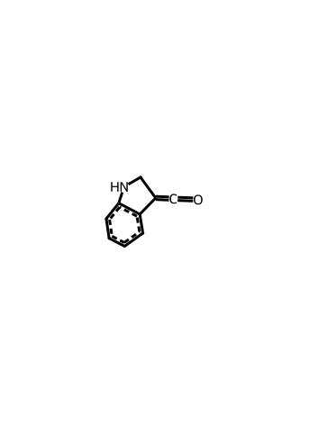 O=C=C1CNc2ccccc21